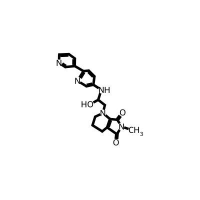 CN1C(=O)C2=C(C1=O)N(CC(O)Nc1ccc(-c3cccnc3)nc1)CCC2